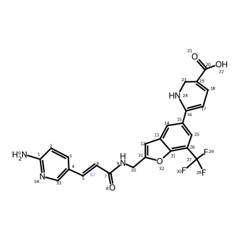 Nc1ccc(/C=C/C(=O)NCc2cc3cc(C4=CC=C(C(=O)O)CN4)cc(C(F)(F)F)c3o2)cn1